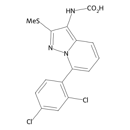 CSc1nn2c(-c3ccc(Cl)cc3Cl)cccc2c1NC(=O)O